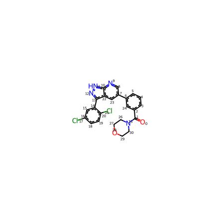 O=C(c1cccc(-c2cnc3[nH]nc(-c4cc(Cl)ccc4Cl)c3c2)c1)N1CCOCC1